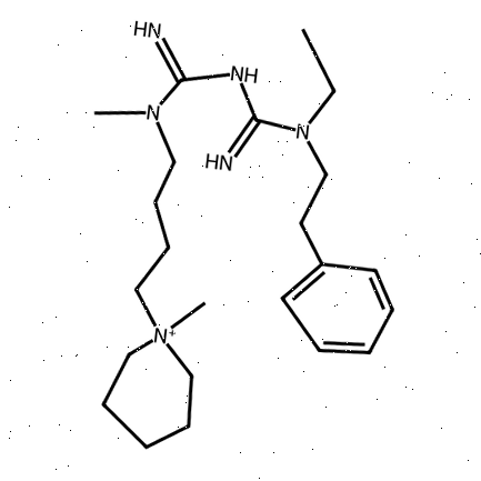 CCN(CCc1ccccc1)C(=N)NC(=N)N(C)CCCC[N+]1(C)CCCCC1